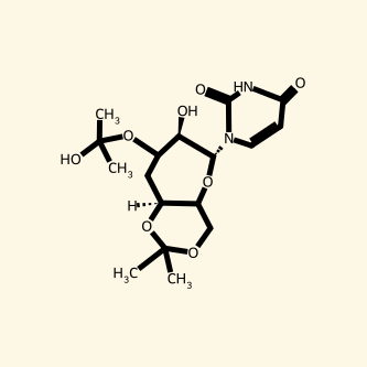 CC(C)(O)OC1C[C@@H]2OC(C)(C)OCC2O[C@@H](n2ccc(=O)[nH]c2=O)[C@@H]1O